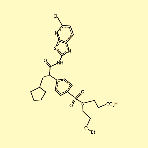 CCOCCN(CCC(=O)O)S(=O)(=O)c1ccc([C@H](CC2CCCC2)C(=O)Nc2nc3ccc(Cl)nc3s2)cc1